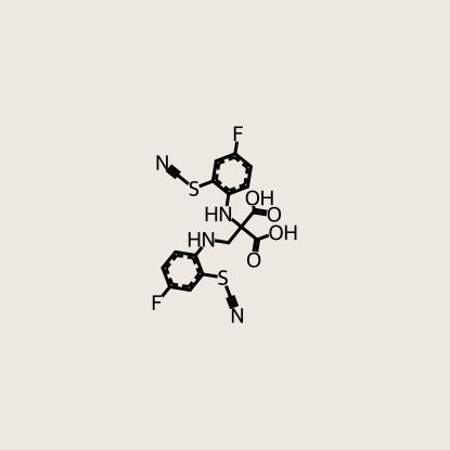 N#CSc1cc(F)ccc1NCC(Nc1ccc(F)cc1SC#N)(C(=O)O)C(=O)O